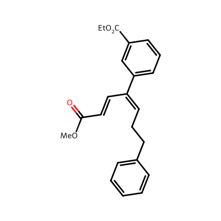 CCOC(=O)c1cccc(C(C=CC(=O)OC)=CCCc2ccccc2)c1